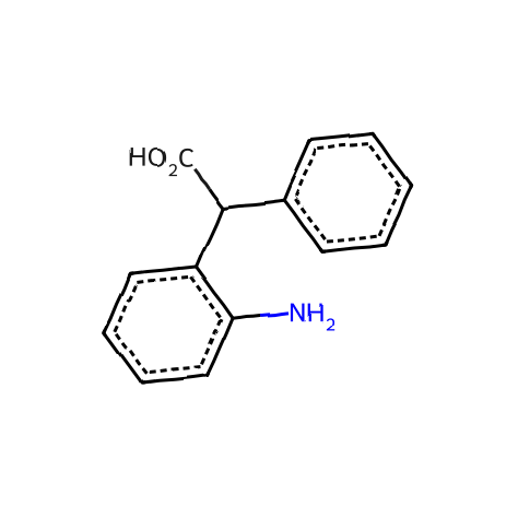 Nc1ccccc1C(C(=O)O)c1ccccc1